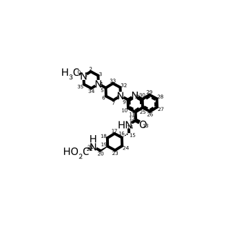 CN1CCN(C2CCN(c3cc(C(=O)NC[C@H]4CC[C@H](CNC(=O)O)CC4)c4ccccc4n3)CC2)CC1